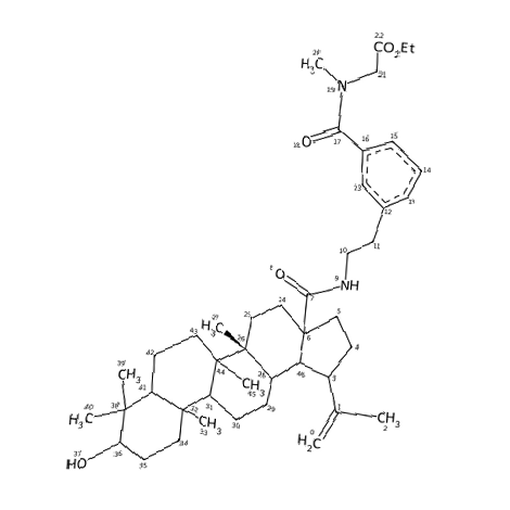 C=C(C)C1CCC2(C(=O)NCCc3cccc(C(=O)N(C)CC(=O)OCC)c3)CC[C@]3(C)C(CCC4C5(C)CCC(O)C(C)(C)C5CCC43C)C12